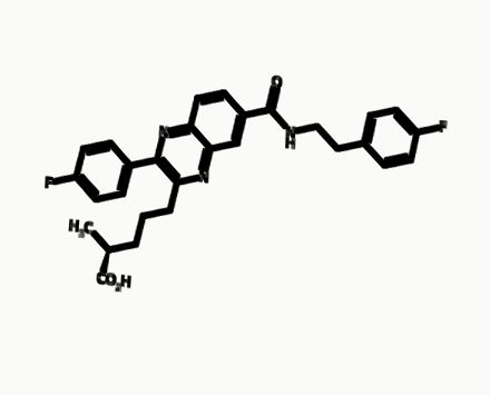 C[C@@H](CCCc1nc2cc(C(=O)NCCc3ccc(F)cc3)ccc2nc1-c1ccc(F)cc1)C(=O)O